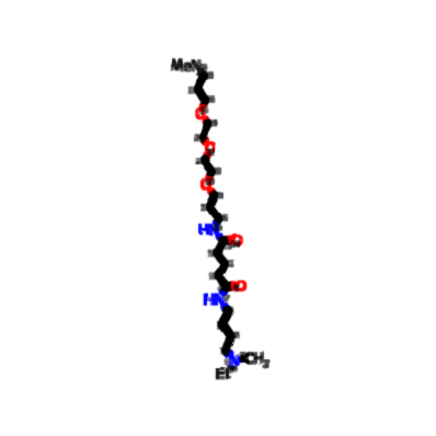 CCN(C)CCCCNC(=O)CCCC(=O)NCCCOCCOCCOCCCNC